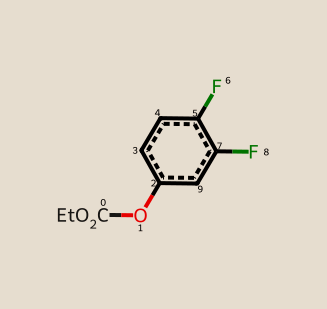 CCOC(=O)Oc1ccc(F)c(F)c1